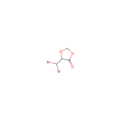 O=C1OCOC1C(Br)Br